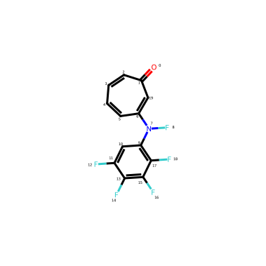 O=c1ccccc(N(F)c2cc(F)c(F)c(F)c2F)c1